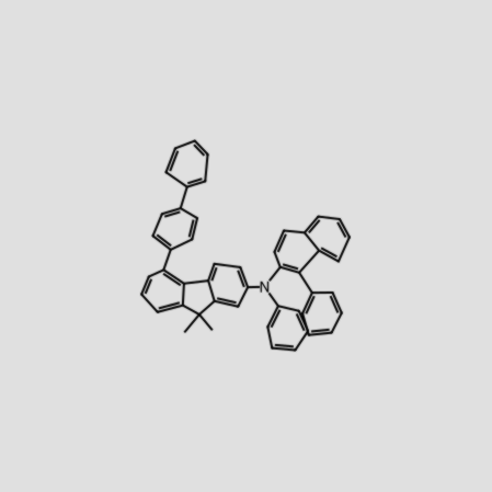 CC1(C)c2cc(N(c3ccccc3)c3ccc4ccccc4c3-c3ccccc3)ccc2-c2c(-c3ccc(-c4ccccc4)cc3)cccc21